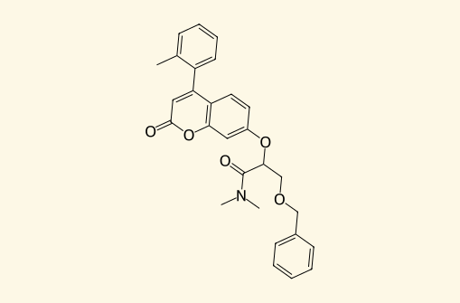 Cc1ccccc1-c1cc(=O)oc2cc(OC(COCc3ccccc3)C(=O)N(C)C)ccc12